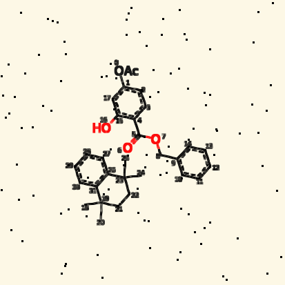 CC(=O)Oc1ccc(C(=O)OCc2ccccc2)c(O)c1.CC1(C)CCC(C)(C)c2ccccc21